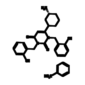 N#Cc1ccccc1Cn1c(C2CCC[C@@H](N)C2)cc(=O)n(Cc2ccccc2C#N)c1=O.O=C(O)c1ccccc1